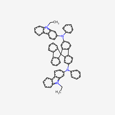 CCn1c2ccccc2c2ccc(N(c3ccccc3)c3ccc4c(c3)C3(c5ccccc5-c5ccccc53)c3cc(N(c5ccccc5)c5ccc6c7ccccc7n(CC)c6c5)ccc3-4)cc21